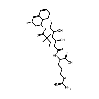 CCC(C)(C)C(=O)O[C@H]1C[C@@H](C)C=C2C=C[C@H](C)[C@H](CC[C@@H](O)C[C@@H](O)CC(=O)N[C@H](CCCNC(=N)N)C(=O)O)C21